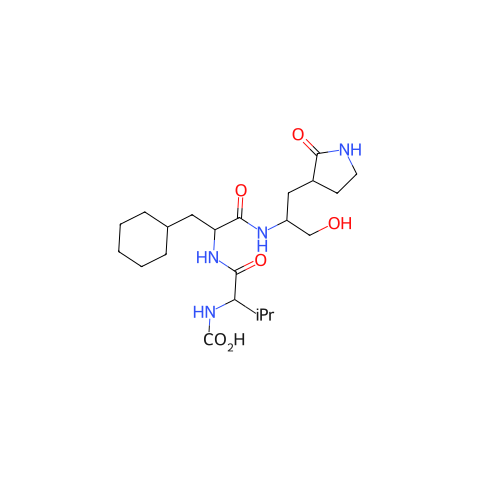 CC(C)C(NC(=O)O)C(=O)NC(CC1CCCCC1)C(=O)NC(CO)CC1CCNC1=O